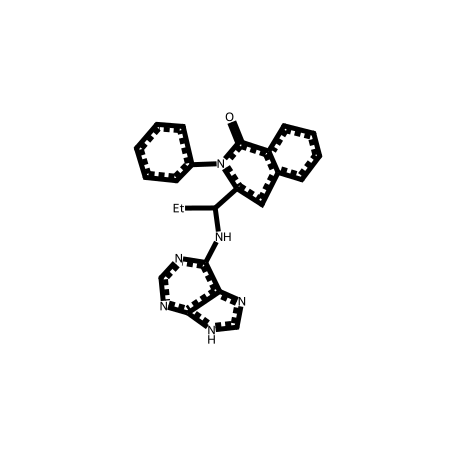 CCC(Nc1ncnc2[nH]cnc12)c1cc2ccccc2c(=O)n1-c1ccccc1